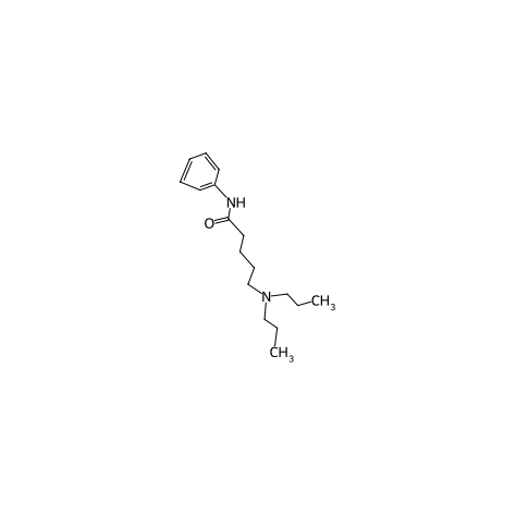 CCCN(CCC)CCCCC(=O)Nc1ccccc1